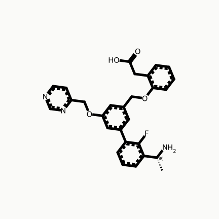 C[C@@H](N)c1cccc(-c2cc(COc3ccccc3CC(=O)O)cc(OCc3ccncn3)c2)c1F